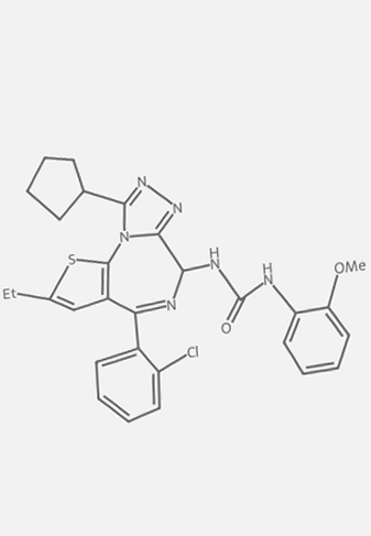 CCc1cc2c(s1)-n1c(C3CCCC3)nnc1C(NC(=O)Nc1ccccc1OC)N=C2c1ccccc1Cl